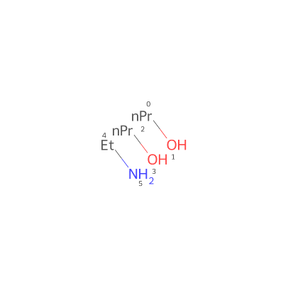 CCCO.CCCO.CCN